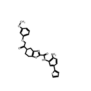 COc1cccc(OCC(=O)C2CCc3sc(C(=O)Nc4cc(-c5cccs5)ccc4N)nc3C2)c1